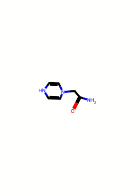 NC(=O)CN1C=CNC=C1